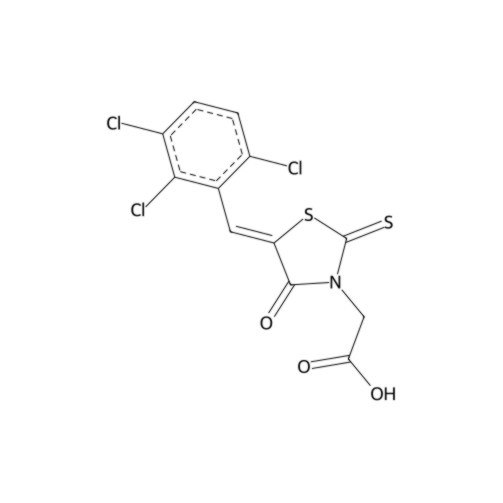 O=C(O)CN1C(=O)/C(=C/c2c(Cl)ccc(Cl)c2Cl)SC1=S